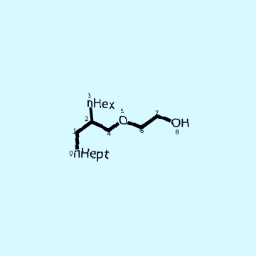 CCCCCCCCC(CCCCCC)COCCO